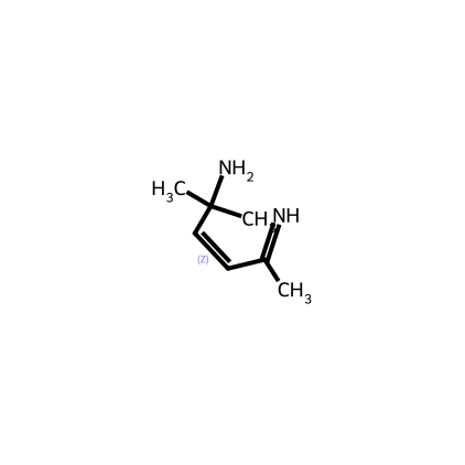 CC(=N)/C=C\C(C)(C)N